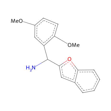 COc1ccc(OC)c(C(N)c2cc3ccccc3o2)c1